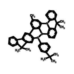 Cc1cc2c3c(c1)N1c4ccccc4C(C)(C)c4cccc(c41)B3N(c1ccc(C(C)(C)C)cc1)c1cc3c(cc1-2)-c1ccccc1C3(C)C